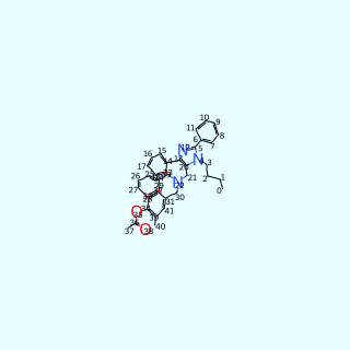 CCCCn1c(-c2ccccc2)nc(-c2ccccc2)c1CN(Cc1ccccc1)Cc1ccc(OC(C)=O)c(C)c1